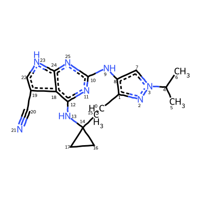 Cc1nn(C(C)C)cc1Nc1nc(NC2(C)CC2)c2c(C#N)c[nH]c2n1